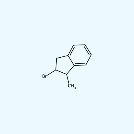 CC1c2ccccc2CC1Br